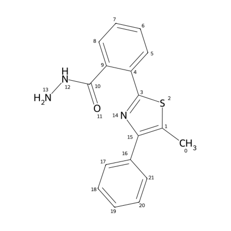 Cc1sc(-c2ccccc2C(=O)NN)nc1-c1ccccc1